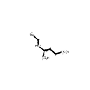 CCC(C)CN[C@@H](CCC(=O)O)C(=O)O